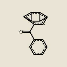 O=C(c1ccccc1)c1[c]c2c3c4c1C4C23